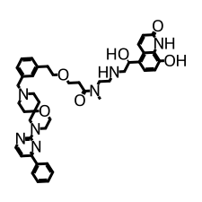 CN(CCNC[C@H](O)c1ccc(O)c2[nH]c(=O)ccc12)C(=O)CCOCCc1cccc(CN2CCC3(CC2)CN(c2nccc(-c4ccccc4)n2)CCO3)c1